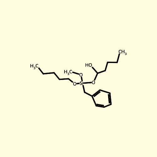 CCCCCO[Si](Cc1ccccc1)(OC)OC(O)CCCC